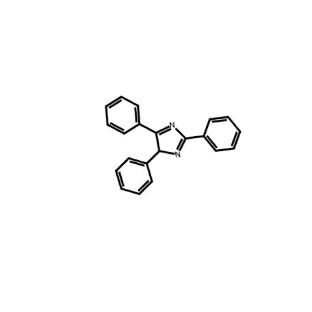 c1ccc(C2=NC(c3ccccc3)C(c3ccccc3)=N2)cc1